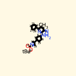 Cc1cc(N)c(Nc2ccc(C3CN(C(=O)OC(C)(C)C)C3)cc2)nc1-c1ccccc1